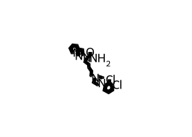 NC(=O)N(CCCCCN1CCN(c2cccc(Cl)c2Cl)CC1)c1cc2ccccn2n1